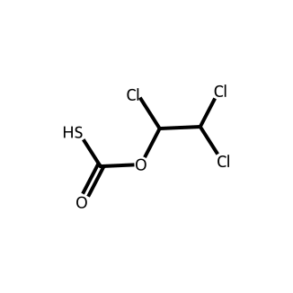 O=C(S)OC(Cl)C(Cl)Cl